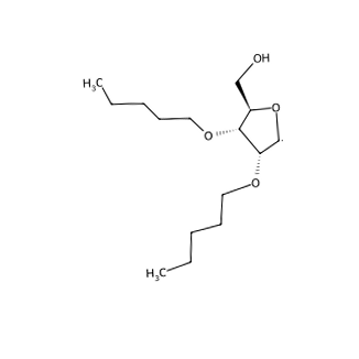 CCCCCO[C@H]1[C@@H](OCCCCC)[CH]O[C@@H]1CO